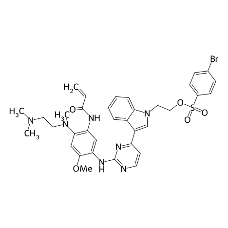 C=CC(=O)Nc1cc(Nc2nccc(-c3cn(CCOS(=O)(=O)c4ccc(Br)cc4)c4ccccc34)n2)c(OC)cc1N(C)CCN(C)C